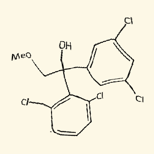 COCC(O)(c1cc(Cl)cc(Cl)c1)c1c(Cl)[c]ccc1Cl